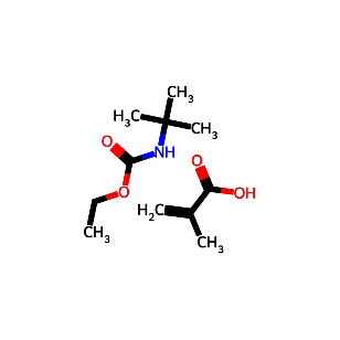 C=C(C)C(=O)O.CCOC(=O)NC(C)(C)C